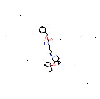 CC[Si](CC)(CC)OC1CN(CCCCNC(=O)OCc2ccccc2)CCC12CC2